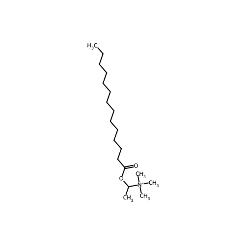 CCCCCCCCCCCCCC(=O)OC(C)[N+](C)(C)C